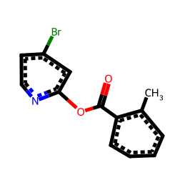 Cc1ccccc1C(=O)Oc1cc(Br)ccn1